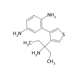 CCC(N)(CC)c1cscc1-c1cc(N)ccc1N